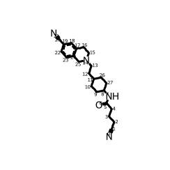 N#CCCCC(=O)NC1CCC(CCN2CCc3cc(C#N)ccc3C2)CC1